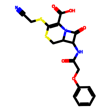 N#CCSC1=C(C(=O)O)N2C(=O)C(NC(=O)COc3ccccc3)C2CS1